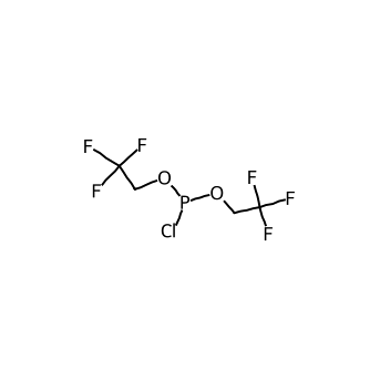 FC(F)(F)COP(Cl)OCC(F)(F)F